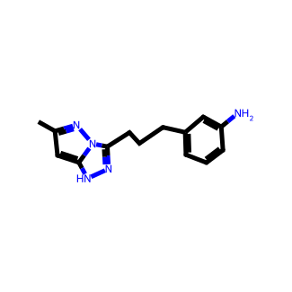 Cc1cc2[nH]nc(CCCc3cccc(N)c3)n2n1